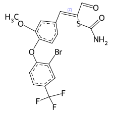 COc1cc(/C=C(/C=O)SC(N)=O)ccc1Oc1ccc(C(F)(F)F)cc1Br